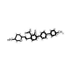 CCCC1CCC(/C=C/c2ccc(-c3ccc(-c4ccc(C)cc4)cc3)c(F)c2C(F)F)OC1